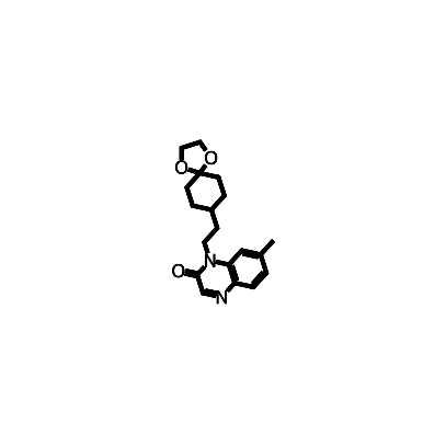 Cc1ccc2ncc(=O)n(CCC3CCC4(CC3)OCCO4)c2c1